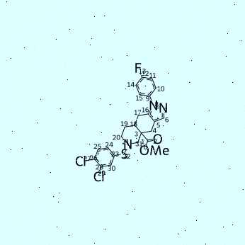 COC(=O)C12Cc3cnn(-c4ccc(F)cc4)c3CC1CCN(Sc1ccc(Cl)c(Cl)c1)C2